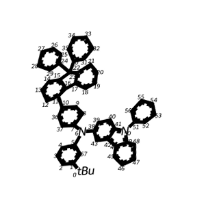 CC(C)(C)c1cccc(N(c2ccc(-c3cccc4c3-c3ccccc3C4(c3ccccc3)c3ccccc3)cc2)c2ccc3c(c2)c2ccccc2n3-c2ccccc2)c1